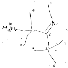 C/N=C(/C(C)(C)C)C(C)(C)N